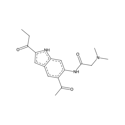 CCC(=O)c1cc2cc(C(C)=O)c(NC(=O)CN(C)C)cc2[nH]1